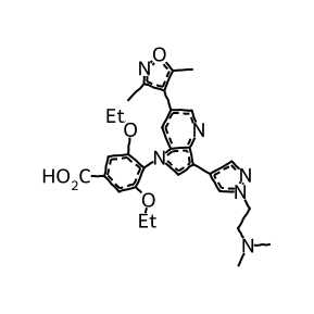 CCOc1cc(C(=O)O)cc(OCC)c1-n1cc(-c2cnn(CCN(C)C)c2)c2ncc(-c3c(C)noc3C)cc21